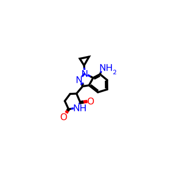 Nc1cccc2c(C3CCC(=O)NC3=O)nn(C3CC3)c12